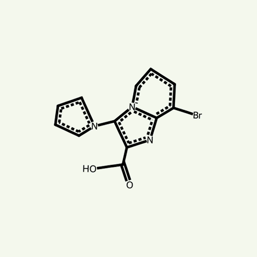 O=C(O)c1nc2c(Br)cccn2c1-n1cccc1